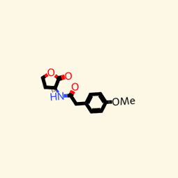 COc1ccc(CC(=O)N[C@H]2CCOC2=O)cc1